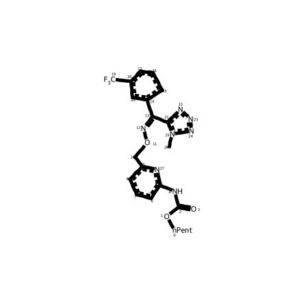 CCCCCOC(=O)Nc1cccc(CON=C(c2cccc(C(F)(F)F)c2)c2nnnn2C)n1